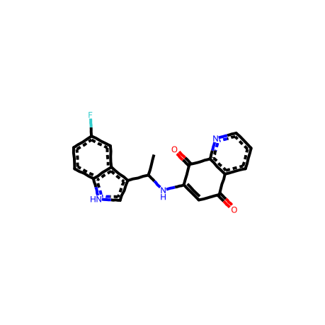 CC(NC1=CC(=O)c2cccnc2C1=O)c1c[nH]c2ccc(F)cc12